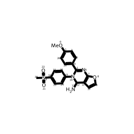 COc1ccc(C2=Nc3occc3C(N)N2c2ccc(S(C)(=O)=O)cc2)cc1